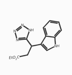 CCOC(=O)CC(c1nnn[nH]1)c1c[nH]c2ccccc12